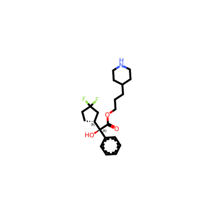 O=C(OCCCC1CCNCC1)[C@](O)(c1ccccc1)[C@@H]1CCC(F)(F)C1